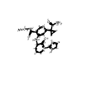 CONC(=O)c1cnc(C2(C(N)=O)CC2)cc1Nc1cccn(-c2nccs2)c1=O